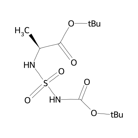 C[C@H](NS(=O)(=O)NC(=O)OC(C)(C)C)C(=O)OC(C)(C)C